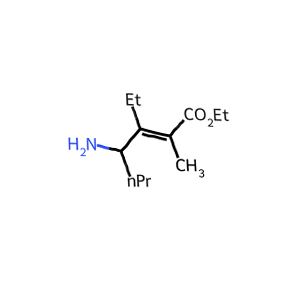 CCCC(N)C(CC)=C(C)C(=O)OCC